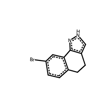 Brc1ccc2c(c1)-c1n[nH]cc1CC2